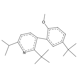 COc1ccc(C(C)(C)C)cc1-c1ccc(C(C)C)nc1C(C)(C)C